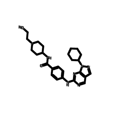 O=C(NC1CCN(CCO)CC1)c1ccc(Nc2ncc3cnn(C4CCCCC4)c3n2)cc1